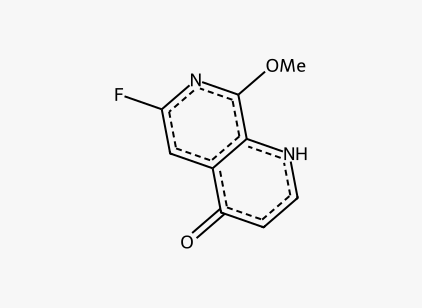 COc1nc(F)cc2c(=O)cc[nH]c12